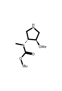 CO[C@@H]1CNC[C@H]1N(C)C(=O)OC(C)(C)C